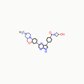 CN1CCN2c3ccc(-c4cnc5[nH]cc(-c6ccc(C(=O)N7CC(O)C7)cc6)c5n4)cc3OCC2C1